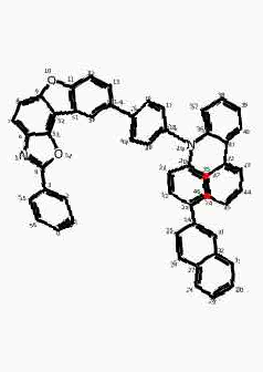 c1ccc(-c2nc3ccc4oc5ccc(-c6ccc(N(c7ccc(-c8ccc9ccccc9c8)cc7)c7ccccc7-c7ccccc7)cc6)cc5c4c3o2)cc1